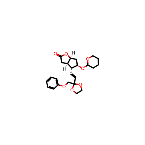 O=C1C[C@@H]2[C@@H](/C=C/C3(COc4ccccc4)OCCO3)[C@H](OC3CCCCO3)C[C@@H]2O1